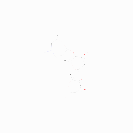 CC1CN(I)CCC(O[C@@H]2[C@H](C)O[C@@H](O[C@@H]3[C@H](C)O[C@@H](O)C[C@@H]3O)C[C@@H]2O)O1